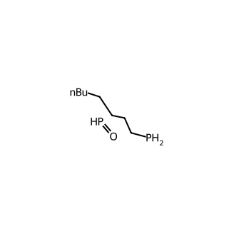 CCCCCCCCP.O=P